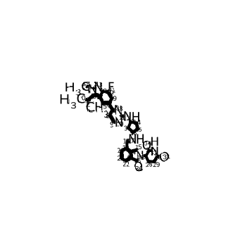 CC(C)c1c2cc(-c3ccnc(N[C@H]4CC[C@H](NCc5cccc6c5CN(C5CCC(=O)NC5=O)C6=O)C4)n3)cc(F)c2nn1C